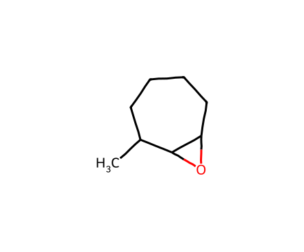 CC1CCCCC2OC12